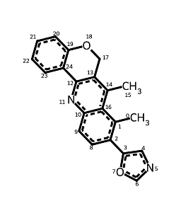 Cc1c(-c2cnco2)ccc2nc3c(c(C)c12)COc1ccccc1-3